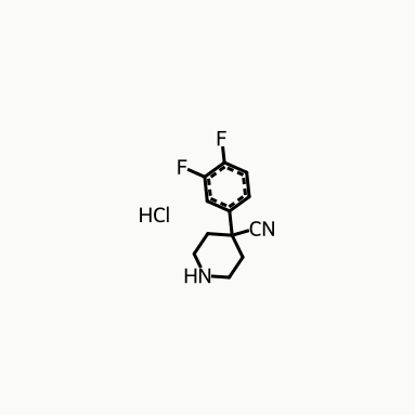 Cl.N#CC1(c2ccc(F)c(F)c2)CCNCC1